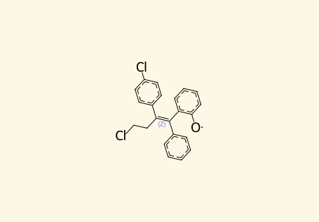 [O]c1ccccc1/C(=C(/CCCl)c1ccc(Cl)cc1)c1ccccc1